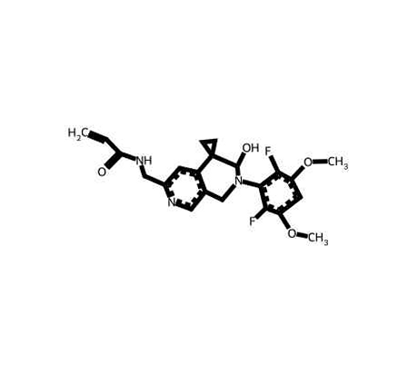 C=CC(=O)NCc1cc2c(cn1)CN(c1c(F)c(OC)cc(OC)c1F)C(O)C21CC1